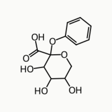 O=C(O)C1(Oc2ccccc2)OCC(O)C(O)C1O